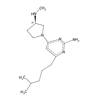 CN[C@@H]1CCN(c2cc(CCCC(C)C)nc(N)n2)C1